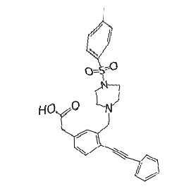 Cc1ccc(S(=O)(=O)N2CCN(Cc3cc(CC(=O)O)ccc3C#Cc3ccccc3)CC2)cc1